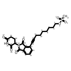 CS(=O)(=O)OCCCCCCCC#Cc1cccc2c1C(=O)N(C1CCC(=O)NC1=O)C2=O